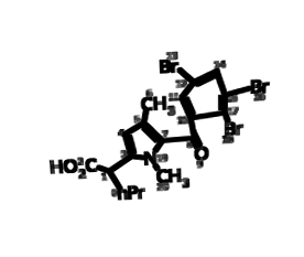 CCCC(C(=O)O)c1cc(C)c(C(=O)c2cc(Br)cc(Br)c2Br)n1C